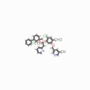 CC1(Cl)C(c2ccccc2)=CC=CC1(COc1cc(OCc2cncc(C#N)c2)c(C=O)cc1Cl)OCCc1ccccn1